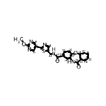 COc1ncc(-c2ncc(CNC(=O)c3ccc4c(c3)NC(=O)c3ccccc3O4)s2)cn1